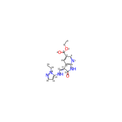 CCOC(=O)c1cnc2c(c1)/C(=C/Nc1ccnn1CC)C(=O)N2